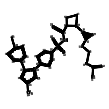 CCC(=O)OCOn1on1N1CCC1C(=O)NS(=O)(=O)c1ccc(-n2nc(C(F)(F)F)cc2-c2ccc(C)cc2)cc1